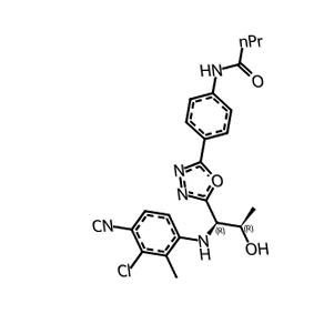 [C-]#[N+]c1ccc(N[C@@H](c2nnc(-c3ccc(NC(=O)CCC)cc3)o2)[C@@H](C)O)c(C)c1Cl